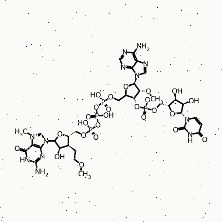 COCC[C@@H]1[C@@H](COP(=O)(O)OP(=O)(O)OP(=O)(O)OCC2O[C@@H](n3cnc4c(N)ncnc43)[C@H](OC)[C@@H]2OP(=O)([O-])OC[C@H]2O[C@@H](n3ccc(=O)[nH]c3=O)[C@H](O)[C@@H]2O)OC(n2c[n+](C)c3c(=O)[nH]c(N)nc32)[C@@H]1O